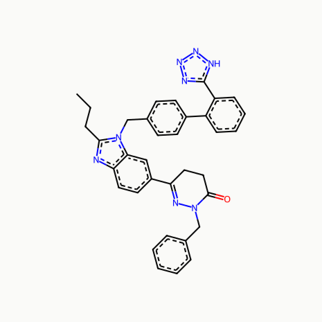 CCCc1nc2ccc(C3=NN(Cc4ccccc4)C(=O)CC3)cc2n1Cc1ccc(-c2ccccc2-c2nnn[nH]2)cc1